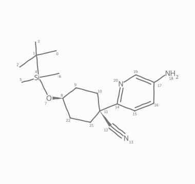 CC(C)(C)[Si](C)(C)O[C@H]1CC[C@](C#N)(c2ccc(N)cn2)CC1